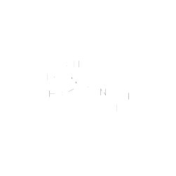 C=C1CC2(CCN(C(C)C)C2)CN1C(C)C